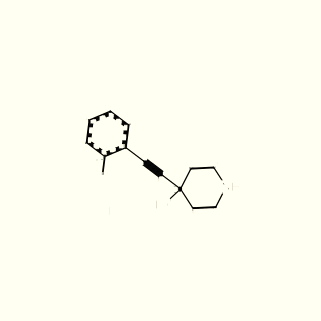 Cl.OC1(C#Cc2ccccc2F)CCNCC1